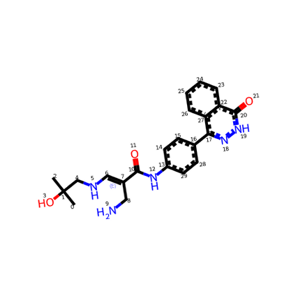 CC(C)(O)CN/C=C(\CN)C(=O)Nc1ccc(-c2n[nH]c(=O)c3ccccc23)cc1